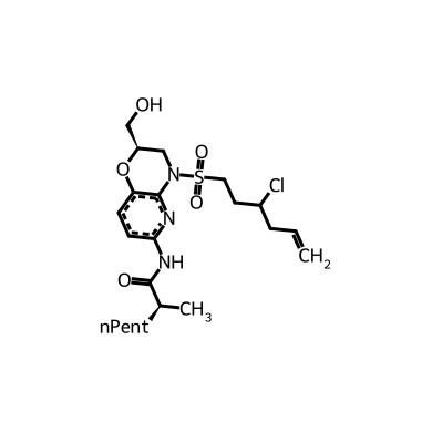 C=CCC(Cl)CCS(=O)(=O)N1C[C@H](CO)Oc2ccc(NC(=O)[C@@H](C)CCCCC)nc21